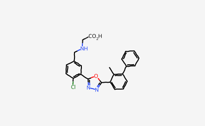 Cc1c(-c2ccccc2)cccc1-c1nnc(-c2cc(CNCC(=O)O)ccc2Cl)o1